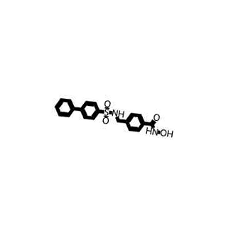 O=C(NO)c1ccc(CNS(=O)(=O)c2ccc(-c3ccccc3)cc2)cc1